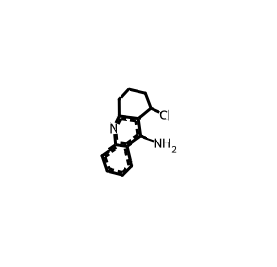 Nc1c2c(nc3ccccc13)CCCC2Cl